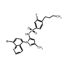 CCCCc1ccc(S(=O)(=O)Nc2cc(C)nn2-c2ccc(Br)c3ncccc23)cc1F